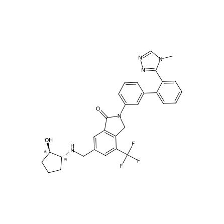 Cn1cnnc1-c1ccccc1-c1cccc(N2Cc3c(cc(CN[C@@H]4CCC[C@H]4O)cc3C(F)(F)F)C2=O)c1